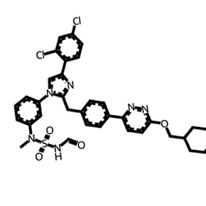 CN(c1cccc(-n2cc(-c3ccc(Cl)cc3Cl)nc2Cc2ccc(-c3ccc(OCC4CCCCC4)nn3)cc2)c1)S(=O)(=O)NC=O